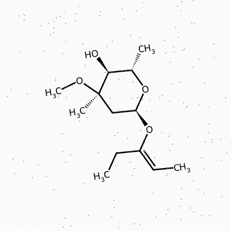 C/C=C(/CC)O[C@H]1C[C@@](C)(OC)[C@@H](O)[C@H](C)O1